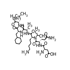 CC(C)C[C@H](NC(=O)[C@H](CC1CCCCC1)NC(=O)[C@H](C)NC(=O)[C@H](CCCCN)N(C(=O)[C@H](CCC(N)=O)NC(=O)[C@@H](N)CC(=O)O)C(C)C)C(=O)O